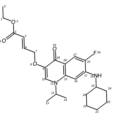 CCOC(=O)/C=C/COc1cn(C(C)C)c2cc(NC3CCCCC3)c(F)cc2c1=O